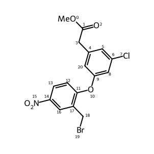 COC(=O)Cc1cc(Cl)cc(Oc2ccc([N+](=O)[O-])cc2CBr)c1